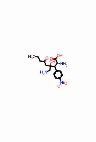 CCCC(=O)C[C@@](O)(CN)C(c1ccc([N+](=O)[O-])cc1)[C@H](N)C(=O)O